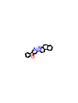 c1ccc2c(c1)ccc1nc(-c3cc4oc5ccccc5c4cn3)ccc12